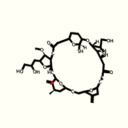 C=C1CC2CCC(=O)C[C@H]3OC(CO)[C@@H](OC4CCC(CC(=O)CC5[C@@H](OC)C(CC(O)CO)O[C@H]5C[C@H]5OC(CCC1O2)C[C@@H](C)C5=C)O[C@@H]4S)C3O